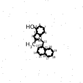 Cc1cc2c(O)cccc2n1Cc1cccc2ccccc12